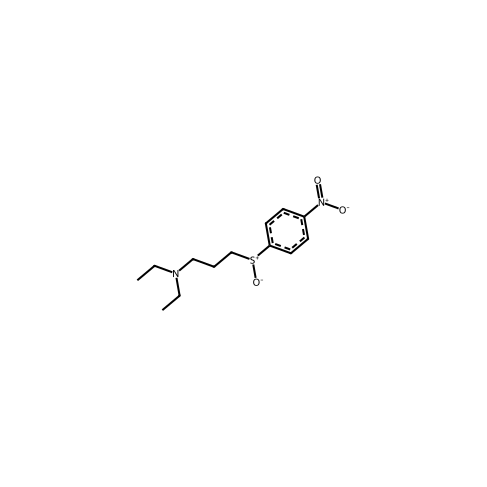 CCN(CC)CCC[S+]([O-])c1ccc([N+](=O)[O-])cc1